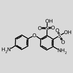 Nc1ccc(Oc2ccc(N)c(S(=O)(=O)O)c2S(=O)(=O)O)cc1